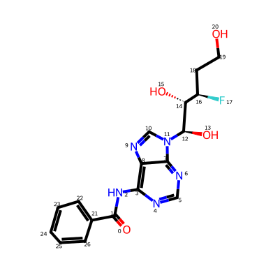 O=C(Nc1ncnc2c1ncn2[C@H](O)[C@H](O)[C@H](F)CCO)c1ccccc1